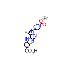 CC(C)OC(=O)N1CCC(n2cc(F)c3c(Nc4ccc(C(=O)O)cc4F)ncnc32)CC1